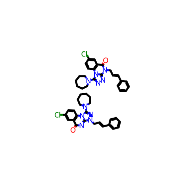 O=c1c2cc(Cl)ccc2n2c(N3CCCCCC3)nnc2n1CC=Cc1ccccc1.O=c1nc2n(CC=Cc3ccccc3)nc(N3CCCCCC3)n2c2ccc(Cl)cc12